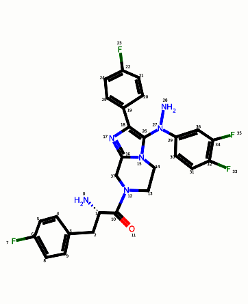 N[C@@H](Cc1ccc(F)cc1)C(=O)N1CCn2c(nc(-c3ccc(F)cc3)c2N(N)c2ccc(F)c(F)c2)C1